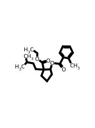 CCOC(=O)C1(CCC(C)C)CCCC1OC(=O)c1ccccc1C